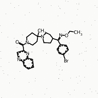 CCO/N=C(\c1ccc(Br)cc1)C1CCN(C2(C)CCN(C(=O)c3cnc4ccccc4n3)CC2)CC1